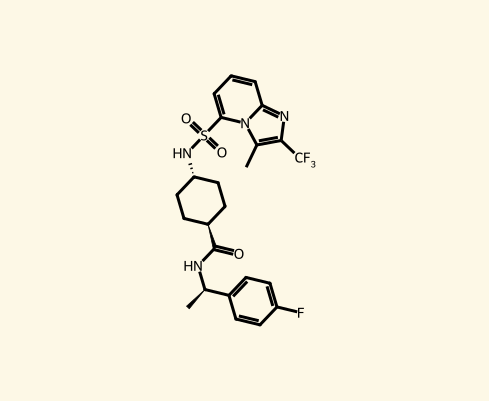 Cc1c(C(F)(F)F)nc2cccc(S(=O)(=O)N[C@H]3CC[C@H](C(=O)N[C@H](C)c4ccc(F)cc4)CC3)n12